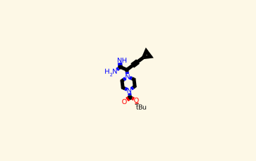 CC(C)(C)OC(=O)N1CCN(C(C#CC2CC2)C(=N)N)CC1